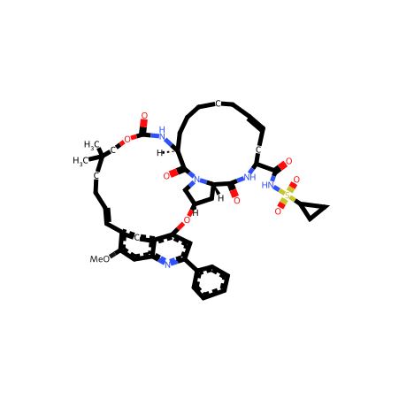 COc1cc2nc(-c3ccccc3)cc3c2cc1/C=C/CCC(C)(C)COC(=O)N[C@H]1CCCCC/C=C\CC(C(=O)NS(=O)(=O)C2CC2)NC(=O)[C@@H]2C[C@H](CN2C1=O)O3